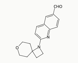 O=Cc1ccc2nc(N3CCC34CCOCC4)ccc2c1